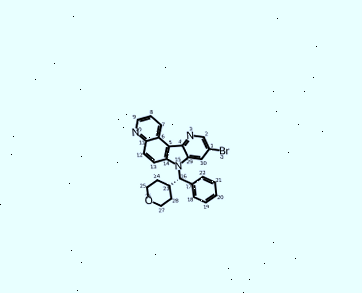 Brc1cnc2c3c4cccnc4ccc3n([C@H](c3ccccc3)C3CCOCC3)c2c1